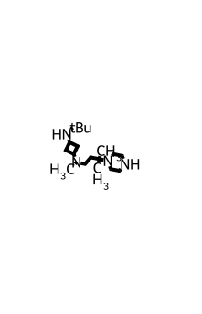 CN(CCC(C)(C)N1CCNCC1)C1CC(NC(C)(C)C)C1